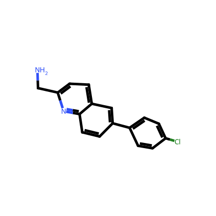 NCc1ccc2cc(-c3ccc(Cl)cc3)ccc2n1